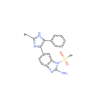 CC(C)c1nc(-c2ccc3nc(N)n(S(=O)(=O)C(C)C)c3c2)c(-c2ccccc2)[nH]1